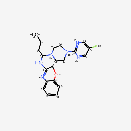 CCCC(NC1=Nc2ccccc2OC1)N1CCN(c2ncc(F)cn2)CC1